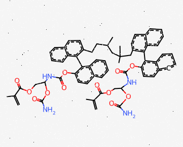 C=C(C)C(=O)OCC(NC(=O)Oc1ccc2ccccc2c1-c1c(CCC(C)CC(C)(C)Cc2ccc3ccccc3c2-c2c(OC(=O)NC(COC(=O)C(=C)C)OC(N)=O)ccc3ccccc23)ccc2ccccc12)OC(N)=O